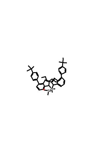 CCCC1=Cc2c(-c3ccc(C(C)(C)C)cc3)cccc2[CH]1[Zr]([CH3])([CH3])([CH]1C(CCC)=Cc2c(-c3ccc(C(C)(C)C)cc3)cccc21)[SiH](C)C